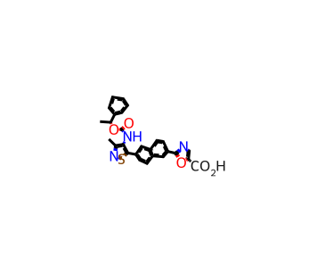 Cc1nsc(-c2ccc3cc(-c4ncc(C(=O)O)o4)ccc3c2)c1NC(=O)OC(C)c1ccccc1